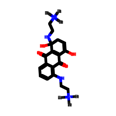 CC[N+](CC)(CC)CCNc1cccc2c1C(=O)C1=C(C2=O)C(O)(NCC[N+](CC)(CC)CC)CC=C1O